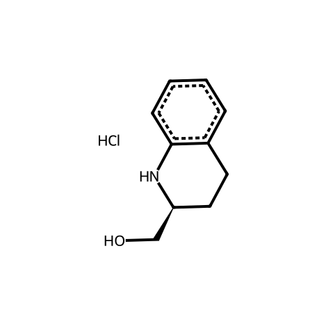 Cl.OC[C@@H]1CCc2ccccc2N1